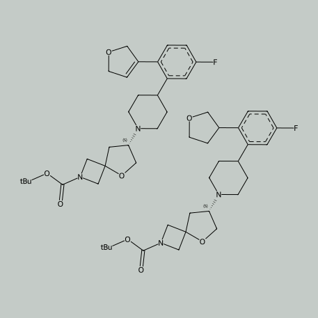 CC(C)(C)OC(=O)N1CC2(C[C@H](N3CCC(c4cc(F)ccc4C4=CCOC4)CC3)CO2)C1.CC(C)(C)OC(=O)N1CC2(C[C@H](N3CCC(c4cc(F)ccc4C4CCOC4)CC3)CO2)C1